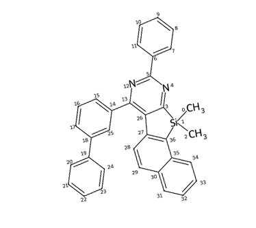 C[Si]1(C)c2nc(-c3ccccc3)nc(-c3cccc(-c4ccccc4)c3)c2-c2ccc3ccccc3c21